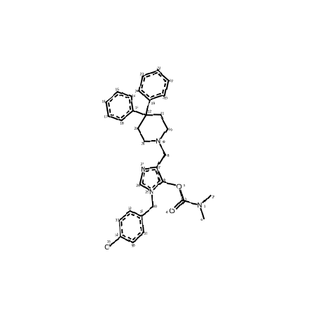 CN(C)C(=O)Oc1c(CN2CCC(c3ccccc3)(c3ccccc3)CC2)ncn1Cc1ccc(Cl)cc1